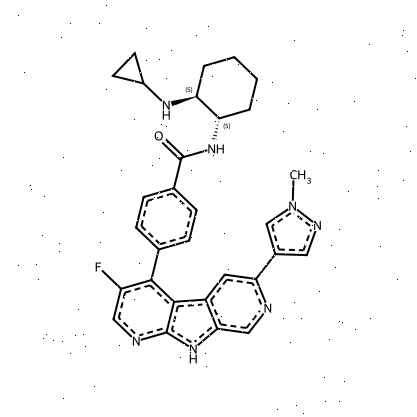 Cn1cc(-c2cc3c(cn2)[nH]c2ncc(F)c(-c4ccc(C(=O)N[C@H]5CCCC[C@@H]5NC5CC5)cc4)c23)cn1